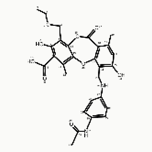 CCOCc1c(O)c(C(=O)O)c(C)c2c1OC(=O)c1c(C)cc(O)c(CNc3ccc(NC(C)=O)cc3)c1O2